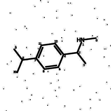 CNC(C)c1ccc(C(C)C)cc1